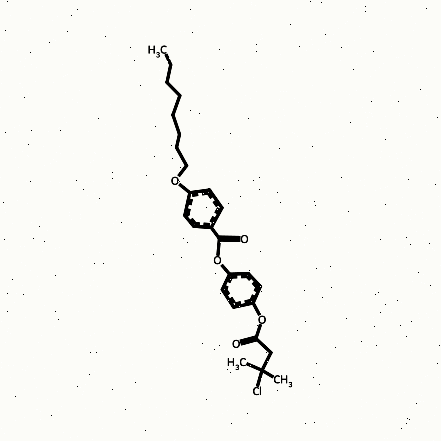 CCCCCCCCOc1ccc(C(=O)Oc2ccc(OC(=O)CC(C)(C)Cl)cc2)cc1